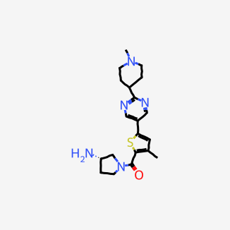 Cc1cc(-c2cnc(C3CCN(C)CC3)nc2)sc1C(=O)N1CC[C@H](N)C1